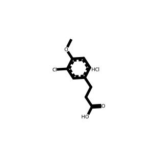 COc1ccc(CCC(=O)O)cc1Cl.Cl